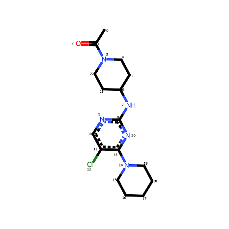 CC(=O)N1CCC(Nc2ncc(Cl)c(N3CCCCC3)n2)CC1